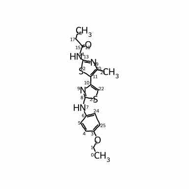 CCOc1ccc(Nc2nc(-c3sc(NC(=O)CC)nc3C)cs2)cc1